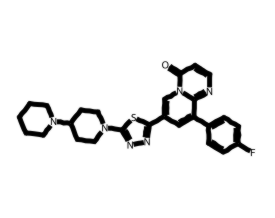 O=c1ccnc2c(-c3ccc(F)cc3)cc(-c3nnc(N4CCC(N5CCCCC5)CC4)s3)cn12